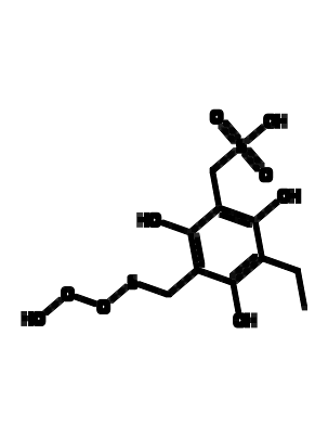 CCc1c(O)c(CSOOO)c(O)c(CS(=O)(=O)O)c1O